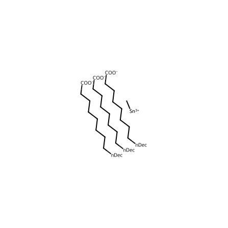 CCCCCCCCCCCCCCCCCC(=O)[O-].CCCCCCCCCCCCCCCCCC(=O)[O-].CCCCCCCCCCCCCCCCCC(=O)[O-].[CH3][Sn+3]